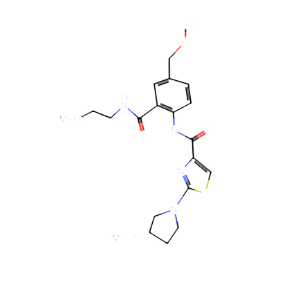 CCCOCc1ccc(NC(=O)c2csc(N3CC[C@H](OC)C3)n2)c(C(=O)NCCOC)c1